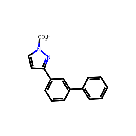 O=C(O)n1ccc(-c2cccc(-c3ccccc3)c2)n1